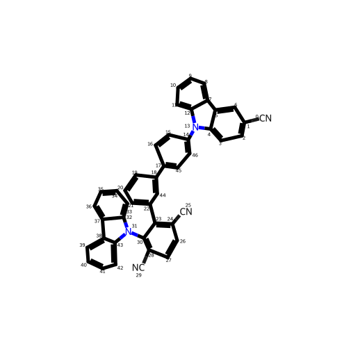 N#Cc1ccc2c(c1)c1ccccc1n2-c1ccc(-c2cccc(-c3c(C#N)ccc(C#N)c3-n3c4ccccc4c4ccccc43)c2)cc1